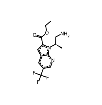 CCOC(=O)c1cc2cc(C(F)(F)F)cnc2n1[C@H](C)CN